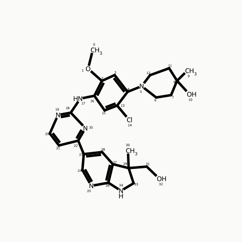 COc1cc(N2CCC(C)(O)CC2)c(Cl)cc1Nc1nccc(-c2cnc3c(c2)C(C)(CO)CN3)n1